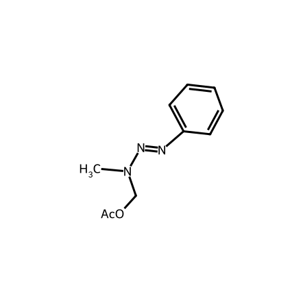 CC(=O)OCN(C)/N=N/c1ccccc1